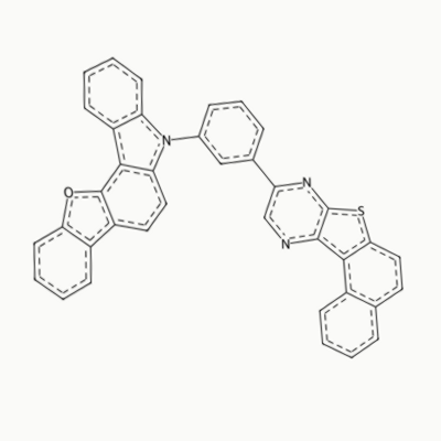 c1cc(-c2cnc3c(n2)sc2ccc4ccccc4c23)cc(-n2c3ccccc3c3c4oc5ccccc5c4ccc32)c1